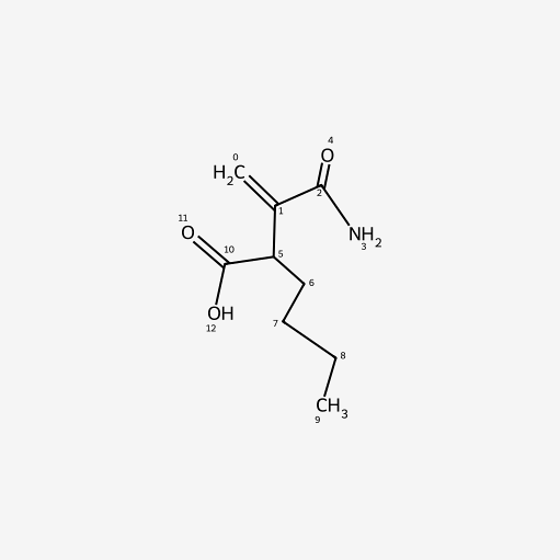 C=C(C(N)=O)C(CCCC)C(=O)O